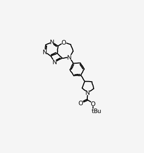 CC(C)(C)OC(=O)N1CCC(c2ccc(N3CCOc4ncnc5c4C3=N5)cc2)C1